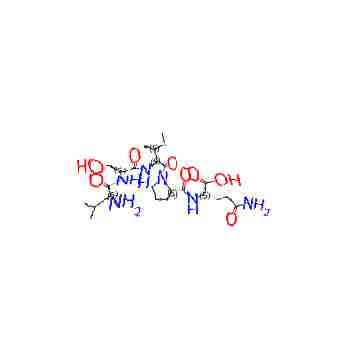 CC[C@H](C)[C@H](NC(=O)[C@H](CO)NC(=O)[C@@H](N)C(C)C)C(=O)N1CCC[C@H]1C(=O)N[C@@H](CCC(N)=O)C(=O)O